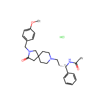 CCOc1ccc(CN2CC3(CCN(CC[C@H](NC(=O)C(C)C)c4ccccc4)CC3)CC2=O)cc1.Cl